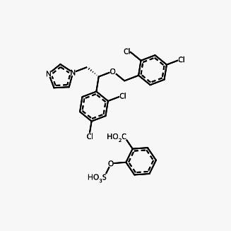 Clc1ccc(CO[C@@H](Cn2ccnc2)c2ccc(Cl)cc2Cl)c(Cl)c1.O=C(O)c1ccccc1OS(=O)(=O)O